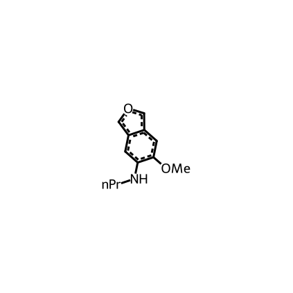 CCCNc1cc2cocc2cc1OC